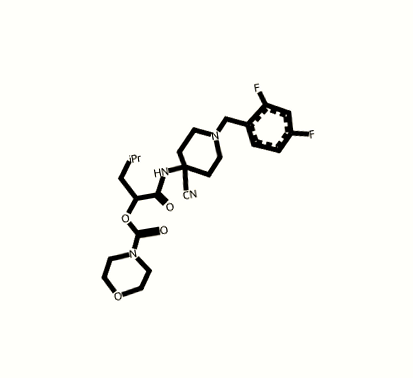 CC(C)CC(OC(=O)N1CCOCC1)C(=O)NC1(C#N)CCN(Cc2ccc(F)cc2F)CC1